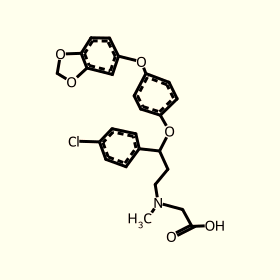 CN(CCC(Oc1ccc(Oc2ccc3c(c2)OCO3)cc1)c1ccc(Cl)cc1)CC(=O)O